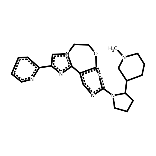 CN1CCCC(C2CCCN2c2cc3c(cn2)-c2nc(-c4ccccn4)cn2CCO3)C1